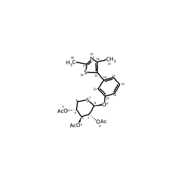 CC(=O)O[C@@H]1[C@@H](OC(C)=O)[C@H](OC(C)=O)CS[C@H]1Oc1cccc(-c2sc(C)nc2C)c1